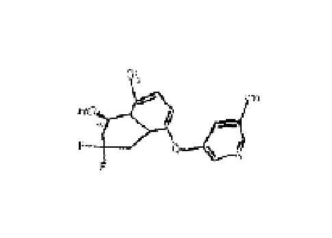 N#Cc1cncc(OC2=CC=C(C(F)(F)F)C3C2CC(F)(F)[C@H]3O)c1